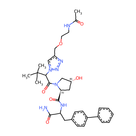 CC(=O)NCCOCc1cn(C(C(=O)N2C[C@H](O)C[C@H]2C(=O)NC(Cc2ccc(-c3ccccc3)cc2)C(N)=O)C(C)(C)C)nn1